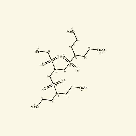 COCCN(CCOC)S(=O)(=O)CN(CS(=O)(=O)N(CCOC)CCOC)S(=O)(=O)CC(C)C